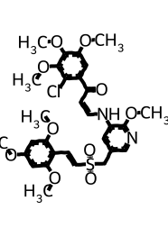 COc1cc(OC)c(/C=C/S(=O)(=O)Cc2cnc(OC)c(N/C=C\C(=O)c3cc(OC)c(OC)c(OC)c3Cl)c2)c(OC)c1